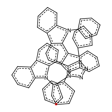 c1ccc(-c2nnn(-c3ccccc3)c2-c2cccc3c4ccccc4n(-c4ccccc4-n4c5ccccc5c5c4ccc4c6ccccc6n(-c6ccccc6)c45)c23)cc1